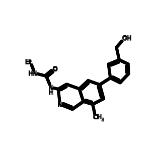 CCNC(=O)Nc1cc2cc(-c3cccc(CO)c3)cc(C)c2cn1